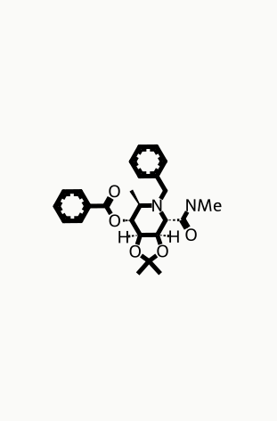 CNC(=O)[C@@H]1[C@H]2OC(C)(C)O[C@H]2[C@H](OC(=O)c2ccccc2)[C@@H](C)N1Cc1ccccc1